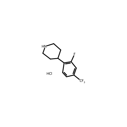 Cl.Fc1cc(C(F)(F)F)ccc1C1CCNCC1